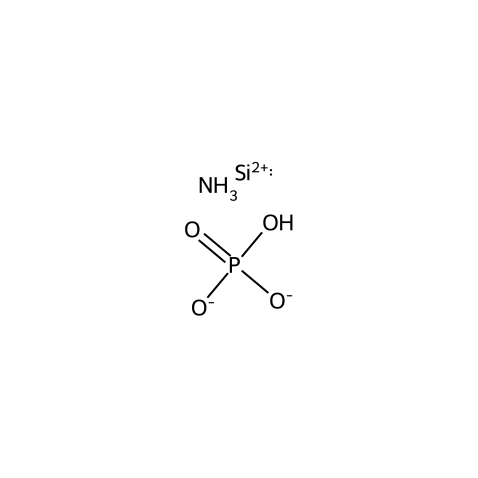 N.O=P([O-])([O-])O.[Si+2]